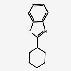 [c]1ccc2nc(C3CCCCC3)oc2c1